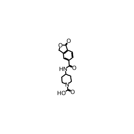 O=C(NC1CCN(C(=O)O)CC1)c1ccc2c(c1)COC2=O